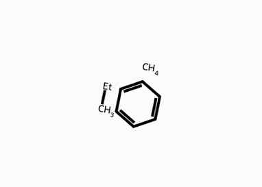 C.CCC.c1ccccc1